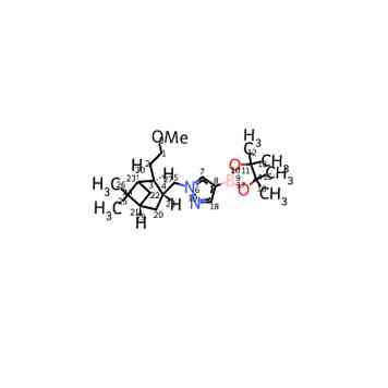 COCC[C@H]1[C@H](Cn2cc(B3OC(C)(C)C(C)(C)O3)cn2)C[C@H]2C[C@H]1C2(C)C